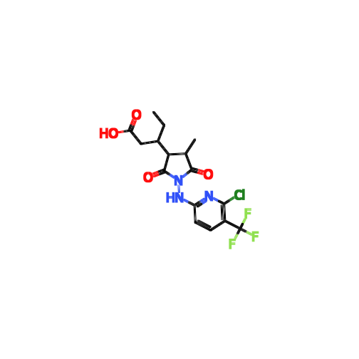 CCC(CC(=O)O)C1C(=O)N(Nc2ccc(C(F)(F)F)c(Cl)n2)C(=O)C1C